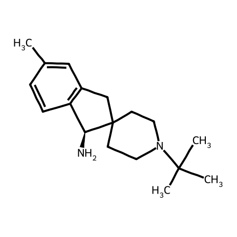 Cc1ccc2c(c1)CC1(CCN(C(C)(C)C)CC1)[C@H]2N